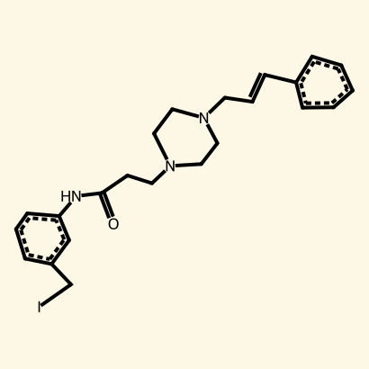 O=C(CCN1CCN(C/C=C/c2ccccc2)CC1)Nc1cccc(CI)c1